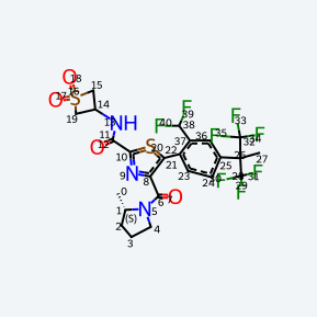 C[C@H]1CCCN1C(=O)c1nc(C(=O)NC2CS(=O)(=O)C2)sc1-c1ccc(C(C)(C(F)(F)F)C(F)(F)F)cc1C(F)F